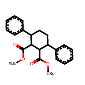 CCCCOC(=O)C1C(c2ccccc2)CCC(c2ccccc2)C1C(=O)OCCCC